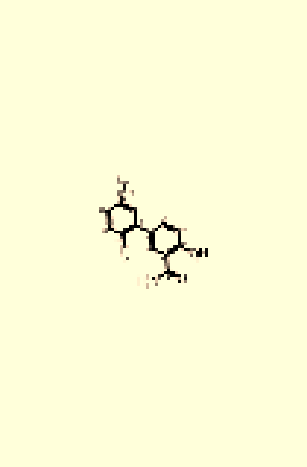 NC(=O)c1cc(-c2cc(C(F)(F)F)ccc2F)ccc1O